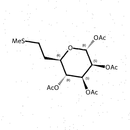 CSCC[C@H]1O[C@H](OC(C)=O)[C@@H](OC(C)=O)[C@@H](OC(C)=O)[C@@H]1OC(C)=O